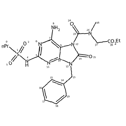 CCCS(=O)(=O)Nc1nc(N)c2c(n1)n(Cc1ccccc1)c(=O)n2C(=O)N(C)CC(=O)OCC